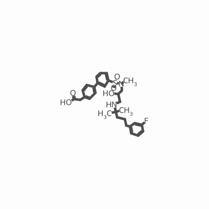 CN(CC(O)CNC(C)(C)CCCc1cccc(F)c1)S(=O)(=O)c1cccc(-c2ccc(CC(=O)O)cc2)c1